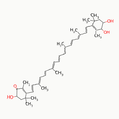 CC1=C(/C=C/C(C)=C/C=C/C(C)=C/C=C/C=C(C)/C=C/C=C(C)/C=C/C2=C(C)C(O)C(O)CC2(C)C)C(C)(C)CC(O)C1=O